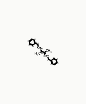 CC(=N\OCc1ccccc1)/C(C)=N/OCc1ccccc1